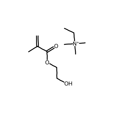 C=C(C)C(=O)OCCO.CC[N+](C)(C)C